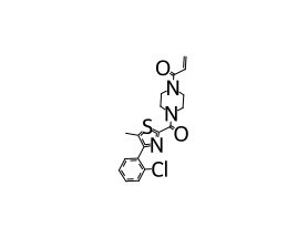 C=CC(=O)N1CCN(C(=O)c2nc(-c3ccccc3Cl)c(C)s2)CC1